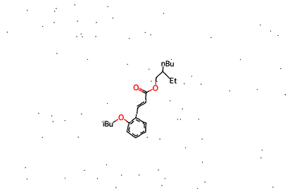 CCCCC(CC)COC(=O)/C=C/c1ccccc1OC(C)CC